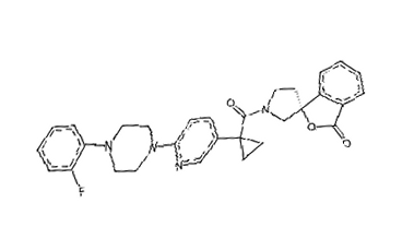 O=C1O[C@]2(CCN(C(=O)C3(c4ccc(N5CCN(c6ccccc6F)CC5)nc4)CC3)C2)c2ccccc21